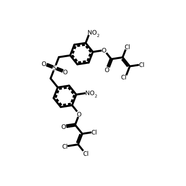 O=C(Oc1ccc(CS(=O)(=O)Cc2ccc(OC(=O)C(Cl)=C(Cl)Cl)c([N+](=O)[O-])c2)cc1[N+](=O)[O-])C(Cl)=C(Cl)Cl